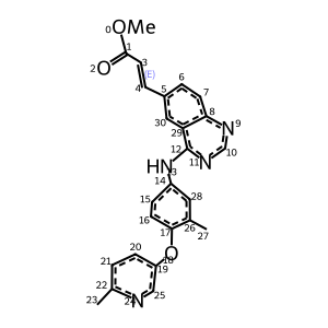 COC(=O)/C=C/c1ccc2ncnc(Nc3ccc(Oc4ccc(C)nc4)c(C)c3)c2c1